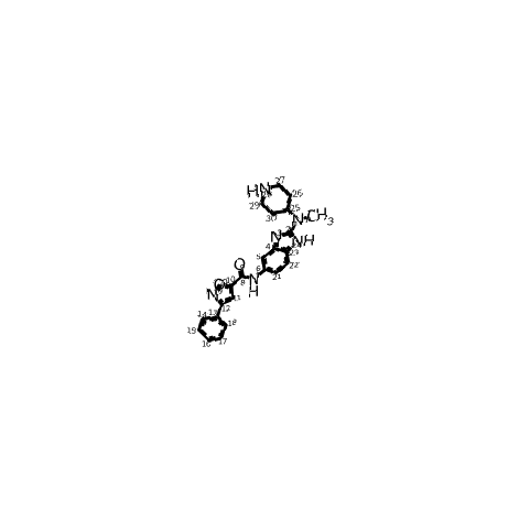 CN(c1nc2cc(NC(=O)c3cc(-c4ccccc4)no3)ccc2[nH]1)C1CCNCC1